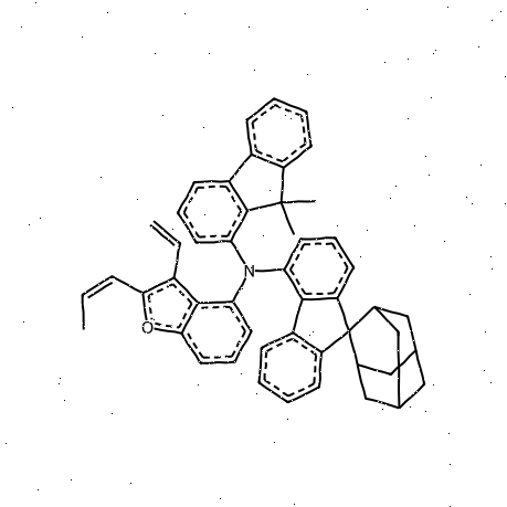 C=Cc1c(/C=C\C)oc2cccc(N(c3cccc4c3-c3ccccc3C43C4CC5CC(C4)CC3C5)c3cccc4c3C(C)(C)c3ccccc3-4)c12